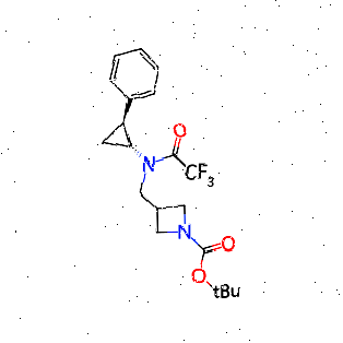 CC(C)(C)OC(=O)N1CC(CN(C(=O)C(F)(F)F)[C@@H]2C[C@H]2c2ccccc2)C1